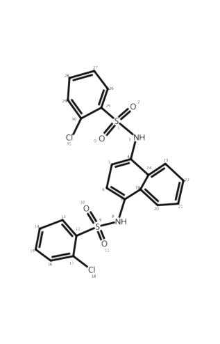 O=S(=O)(Nc1ccc(NS(=O)(=O)c2ccccc2Cl)c2ccccc12)c1ccccc1Cl